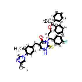 Cc1cn(-c2ccc(Cc3c[nH]c(=S)n([C@H](CCO[Si](c4ccccc4)(c4ccccc4)C(C)(C)C)c4ccc(F)cc4)c3=O)cc2C)cn1